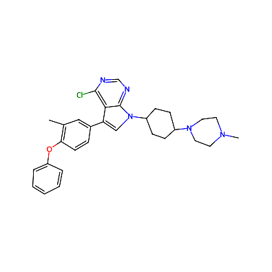 Cc1cc(-c2cn(C3CCC(N4CCN(C)CC4)CC3)c3ncnc(Cl)c23)ccc1Oc1ccccc1